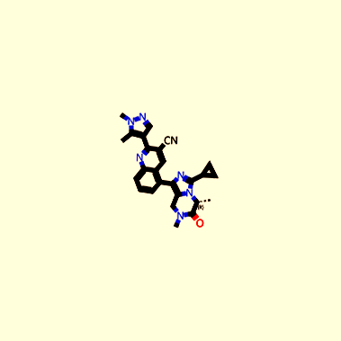 Cc1c(-c2nc3cccc(-c4nc(C5CC5)n5c4CN(C)C(=O)[C@H]5C)c3cc2C#N)cnn1C